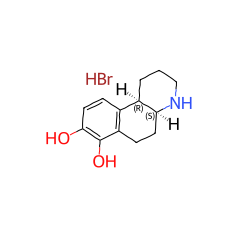 Br.Oc1ccc2c(c1O)CC[C@@H]1NCCC[C@H]21